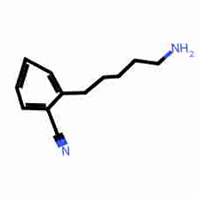 N#Cc1ccccc1CCCCCN